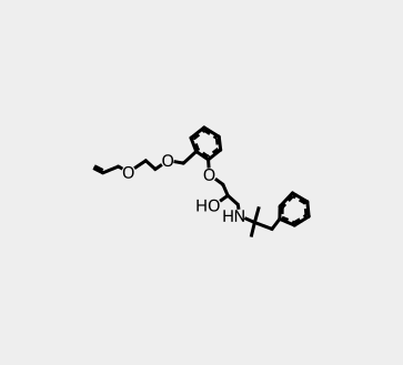 C=CCOCCOCc1ccccc1OCC(O)CNC(C)(C)Cc1ccccc1